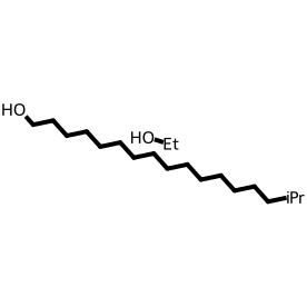 CC(C)CCCCCCCCCCCCCCCO.CCO